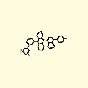 Cc1ccc(-c2ccc(C3=c4ccccc4=C(c4cccc(-c5cncc(C)c5)c4)C4C=CC=CC34)c3ccccc23)cc1